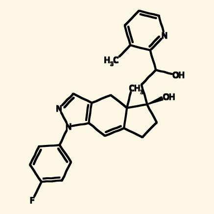 Cc1cccnc1C(O)C[C@]1(O)CCC2=Cc3c(cnn3-c3ccc(F)cc3)CC21C